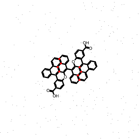 O=C(O)c1ccc(Oc2ccc3ccccc3c2-c2c(Oc3ccc(C(=O)O)cc3-c3cc4ccccc4c4ccccc34)ccc3ccccc23)c(-c2cc3ccccc3c3ccccc23)c1